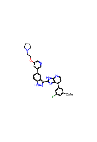 COc1cc(F)cc(-c2ccnc3[nH]c(-c4n[nH]c5ccc(-c6cncc(OCCN7CCCC7)c6)cc45)nc23)c1